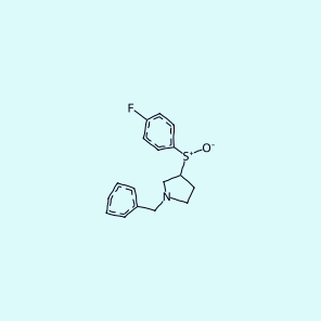 [O-][S+](c1ccc(F)cc1)C1CCN(Cc2ccccc2)C1